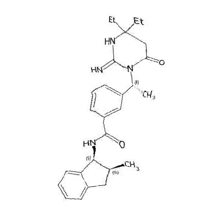 CCC1(CC)CC(=O)N([C@H](C)c2cccc(C(=O)N[C@@H]3c4ccccc4C[C@@H]3C)c2)C(=N)N1